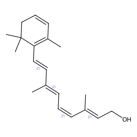 CC1=C(/C=C/C(C)=C/C=C\C(C)=C\CO)C(C)(C)CC=C1